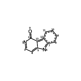 O=C1N=CC=C2N=c3ccccc3=C12